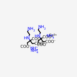 NCCNC(CC(=O)[O-])(CC(=O)[O-])C(=O)[O-].NCCNC(CC(=O)[O-])(CC(=O)[O-])C(=O)[O-].[Fe+3].[NH4+].[NH4+].[NH4+]